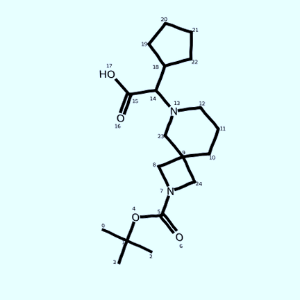 CC(C)(C)OC(=O)N1CC2(CCCN(C(C(=O)O)C3CCCC3)C2)C1